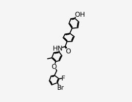 Cc1cc(NC(=O)c2ccc(-c3ccc(O)cc3)cc2)ccc1OCc1cccc(Br)c1F